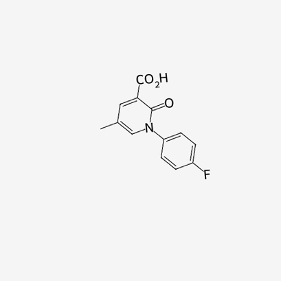 Cc1cc(C(=O)O)c(=O)n(-c2ccc(F)cc2)c1